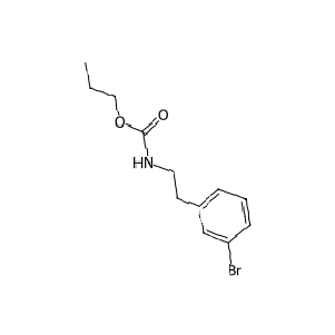 CCCOC(=O)NCCc1cccc(Br)c1